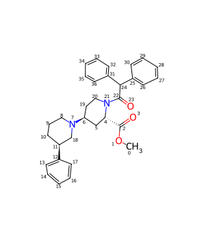 COC(=O)[C@@H]1C[C@@H](N2CCC[C@H](c3ccccc3)C2)CCN1C(=O)C(c1ccccc1)c1ccccc1